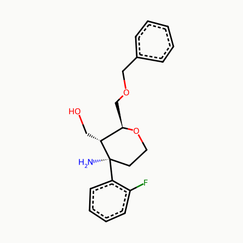 N[C@@]1(c2ccccc2F)CCO[C@H](COCc2ccccc2)[C@H]1CO